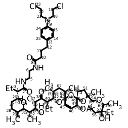 CCC(C(=O)NCCNC(=O)CCCc1ccc(N(CCCl)CCCl)cc1)[C@H]1CC[C@H](C)[C@H]([C@@H](C)[C@H](O)[C@H](C)C(=O)[C@H](CC)[C@H]2O[C@]3(C=C[C@@H](OC(C)=O)[C@]4(CC[C@@](C)([C@H]5CC[C@](O)(CC)[C@H](C)O5)O4)O3)[C@H](C)C[C@@H]2C)O1